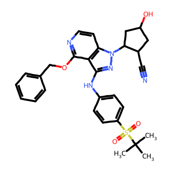 CC(C)(C)S(=O)(=O)c1ccc(Nc2nn(C3CC(O)CC3C#N)c3ccnc(OCc4ccccc4)c23)cc1